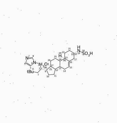 CC(C)(C)CC(Cn1ccnc1)[C@H]1CCC2C3CC=C4C[C@@H](NS(=O)(=O)O)CC[C@@H]4C3CC[C@@]21C